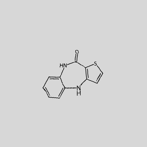 O=C1Nc2ccccc2Nc2ccsc21